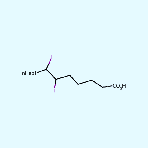 CCCCCCCC(I)C(I)CCCCC(=O)O